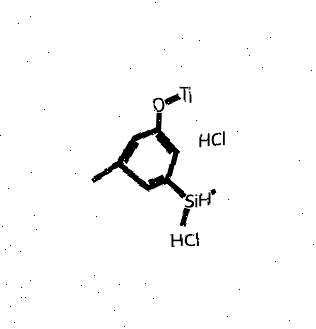 Cc1cc([O][Ti])cc([SiH](C)C)c1.Cl.Cl